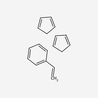 C1=CCC=C1.C1=CCC=C1.C=Cc1ccccc1